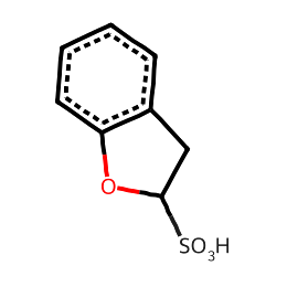 O=S(=O)(O)C1Cc2ccccc2O1